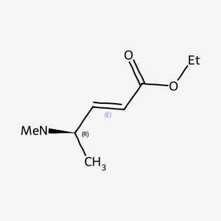 CCOC(=O)/C=C/[C@@H](C)NC